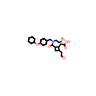 CCCN(Cc1ccc(Oc2ccccc2)cc1)C(=O)C1CC(CC=O)C1CC(=O)O